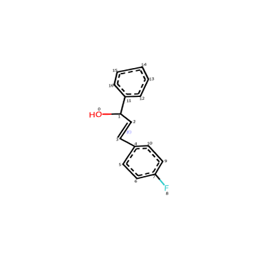 OC(/C=C/c1ccc(F)cc1)c1ccccc1